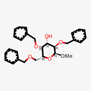 CO[C@H]1O[C@H](COCc2ccccc2)[C@H](OCc2ccccc2)[C@H](O)[C@H]1OCc1ccccc1